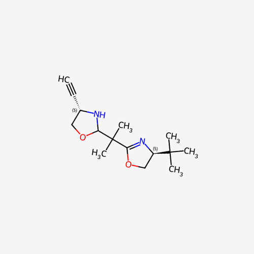 C#C[C@H]1COC(C(C)(C)C2=N[C@@H](C(C)(C)C)CO2)N1